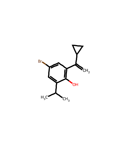 C=C(c1cc(Br)cc(C(C)C)c1O)C1CC1